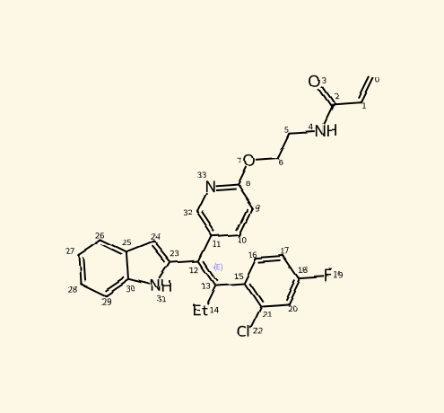 C=CC(=O)NCCOc1ccc(/C(=C(/CC)c2ccc(F)cc2Cl)c2cc3ccccc3[nH]2)cn1